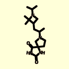 CC(CC1CN(C(C)C)C1(C)C)N1CCC2(C1)NC(=O)NC2=O